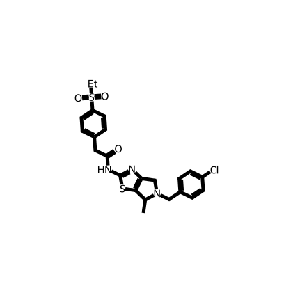 CCS(=O)(=O)c1ccc(CC(=O)Nc2nc3c(s2)C(C)N(Cc2ccc(Cl)cc2)C3)cc1